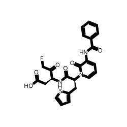 O=C(O)C[C@H](NC(=O)[C@H](Cc1cccs1)n1cccc(NC(=O)c2ccccc2)c1=O)C(=O)CF